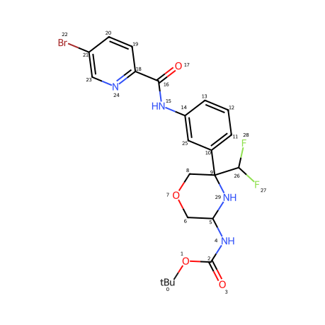 CC(C)(C)OC(=O)NC1COCC(c2cccc(NC(=O)c3ccc(Br)cn3)c2)(C(F)F)N1